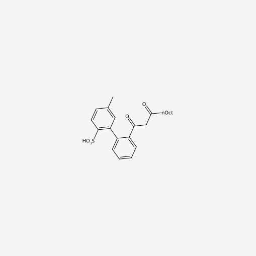 CCCCCCCCC(=O)CC(=O)c1ccccc1-c1cc(C)ccc1S(=O)(=O)O